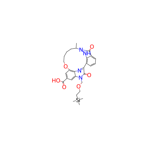 CC1CCCCOc2cc(C(=O)O)cc3c2nc(c(=O)n3COCC[Si](C)(C)C)-c2cccc3c(=O)n1[nH]c23